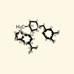 C[C@H]1CCN(Cc2ccc(F)c(F)c2)C[C@@H]1c1cc(C(F)F)nc2ncnn12